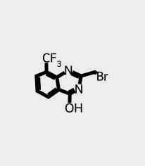 Oc1nc(CBr)nc2c(C(F)(F)F)cccc12